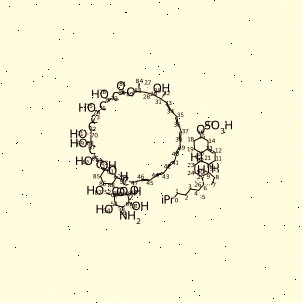 CC(C)CCC[C@@H](C)[C@H]1CC[C@H]2[C@@H]3CC=C4C[C@@H](OS(=O)(=O)O)CC[C@]4(C)[C@H]3CC[C@]12C.C[C@@H]1[C@H](O)[C@@H](C)/C=C/C=C/C=C/C=C/C=C/C=C/C=C/[C@H](O[C@@H]2O[C@H](C)[C@@H](O)[C@H](N)[C@@H]2O)C[C@@H]2O[C@](O)(C[C@@H](O)C[C@@H](O)[C@H](O)CC[C@@H](O)C[C@@H](O)CC(=O)O[C@H]1C)C[C@H](O)[C@H]2C(=O)O